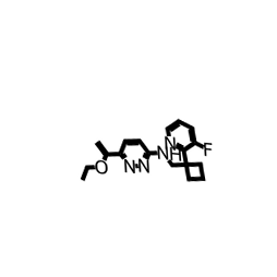 C=C(OCC)c1ccc(NCC2(c3ncccc3F)CCC2)nn1